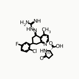 Cc1ccnc2c1C(=NNC(=N)N)CC(c1cc(F)ccc1Cl)C2.O=C1CC[C@@H](C(=O)O)N1